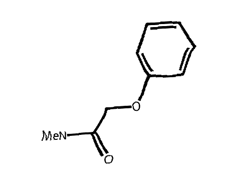 [CH]NC(=O)COc1ccccc1